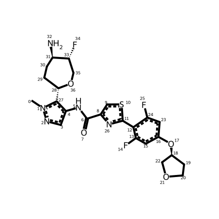 Cn1ncc(NC(=O)c2csc(-c3c(F)cc(O[C@H]4CCOC4)cc3F)n2)c1[C@@H]1CC[C@@H](N)[C@H](F)CO1